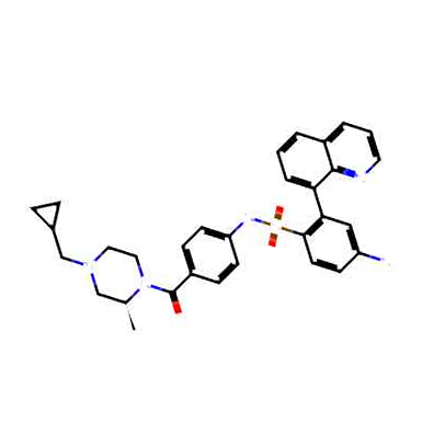 C[C@H]1CN(CC2CC2)CCN1C(=O)c1ccc(NS(=O)(=O)c2ccc(N)cc2-c2cccc3cccnc23)cc1